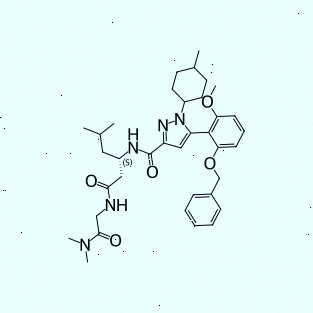 COc1cccc(OCc2ccccc2)c1-c1cc(C(=O)N[C@H](CC(=O)NCC(=O)N(C)C)CC(C)C)nn1C1CCC(C)CC1